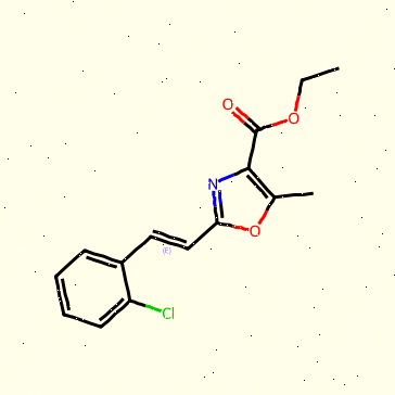 CCOC(=O)c1nc(/C=C/c2ccccc2Cl)oc1C